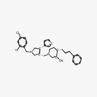 O[C@H]1CN(C[C@@H]2CN(Cc3ccc(Cl)cc3Cl)C[C@@H]2c2ccsc2)CC[C@@H]1CCCc1ccccc1